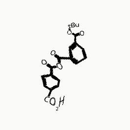 CC(C)(C)OC(=O)c1cccc(C(=O)OC(=O)c2ccc(C(=O)O)cc2)c1